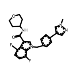 Cn1cc(-c2ccc(Cn3cc(C(=O)NC4CCOCC4)c4c(F)ccc(F)c43)cc2)cn1